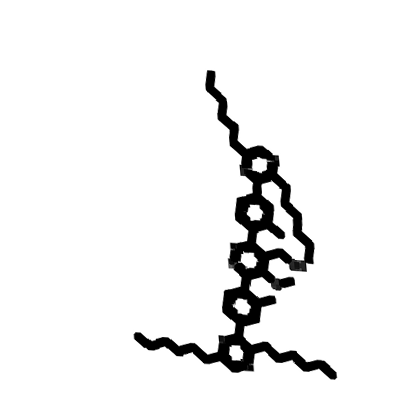 CCCCCCc1cnc(CCCCCC)c(-c2ccc(-c3nnc(-c4ccc(-c5nc(CCCCCC)cnc5CCCCCC)cc4C)c(OC)c3CO)c(C)c2)n1